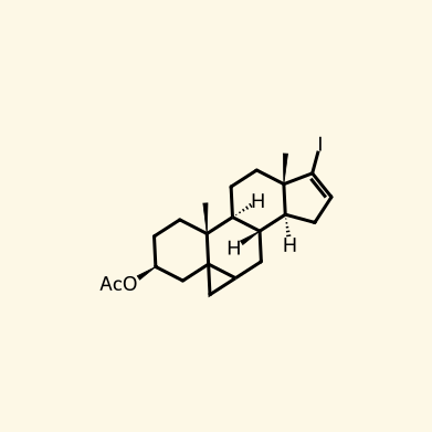 CC(=O)O[C@H]1CC[C@]2(C)[C@H]3CC[C@]4(C)C(I)=CC[C@H]4[C@@H]3CC3CC32C1